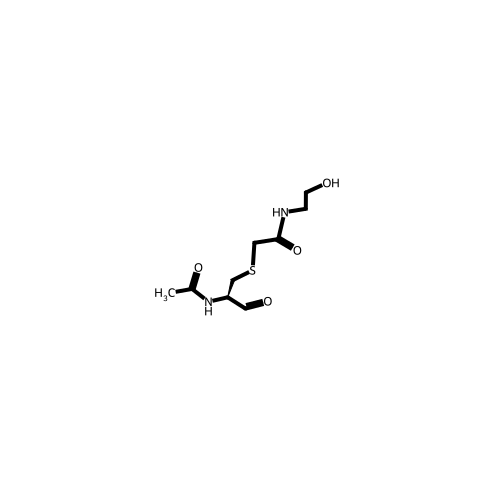 CC(=O)N[C@H](C=O)CSCC(=O)NCCO